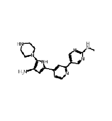 CNc1ncc(-c2cc(-c3cc(N)c(N4CCNCC4)[nH]3)ccn2)cn1